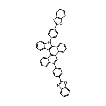 C1=Cc2oc(-c3ccc(-n4c5ccccc5c5c6c7ccccc7c(-c7ccc(-c8nc9ccccc9o8)cc7)cc6c6ccccc6c54)cc3)nc2CC1